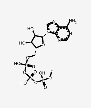 Nc1ncnc2c1ncn2[C@@H]1O[C@H](COP(=O)(O)OP(=O)(O)OP(=O)(O)OF)[C@@H](O)[C@H]1O